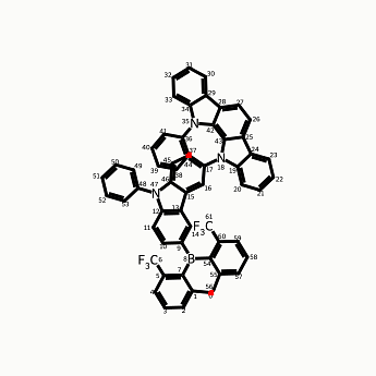 Cc1cccc(C(F)(F)F)c1B(c1ccc2c(c1)c1cc(-n3c4ccccc4c4ccc5c6ccccc6n(-c6ccccc6)c5c43)ccc1n2-c1ccccc1)c1c(C)cccc1C(F)(F)F